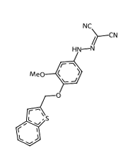 COc1cc(NN=C(C#N)C#N)ccc1OCc1cc2ccccc2s1